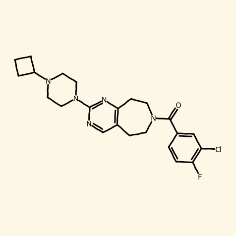 O=C(c1ccc(F)c(Cl)c1)N1CCc2cnc(N3CCN(C4CCC4)CC3)nc2CC1